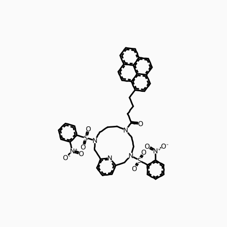 O=C(CCCc1ccc2ccc3cccc4ccc1c2c34)N1CCCN(S(=O)(=O)c2ccccc2[N+](=O)[O-])Cc2cccc(n2)CN(S(=O)(=O)c2ccccc2[N+](=O)[O-])CC1